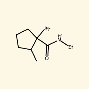 CCNC(=O)C1(C(C)C)CCCC1C